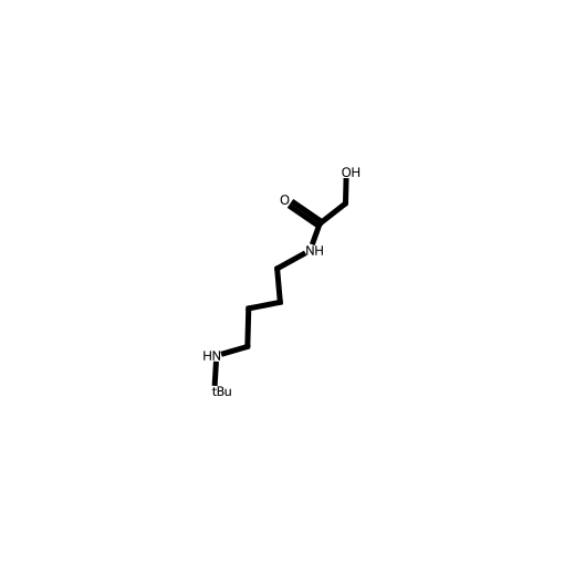 CC(C)(C)NCCCCNC(=O)CO